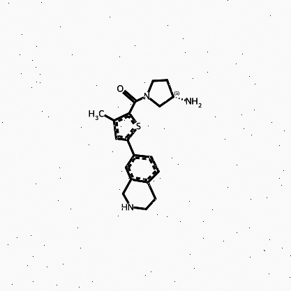 Cc1cc(-c2ccc3c(c2)CNCC3)sc1C(=O)N1CC[C@H](N)C1